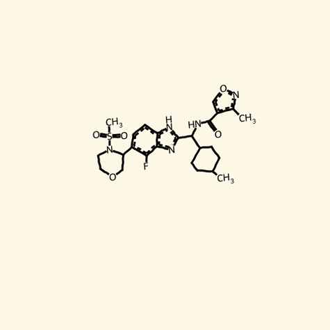 Cc1nocc1C(=O)NC(c1nc2c(F)c(C3COCCN3S(C)(=O)=O)ccc2[nH]1)C1CCC(C)CC1